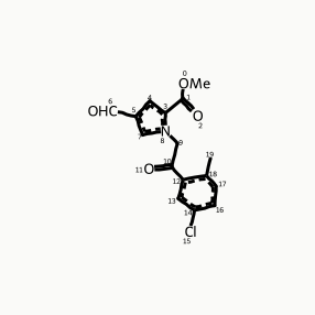 COC(=O)c1cc(C=O)cn1CC(=O)c1cc(Cl)ccc1C